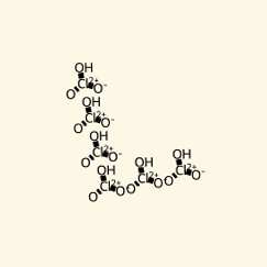 [O-][Cl+2]([O-])O.[O-][Cl+2]([O-])O.[O-][Cl+2]([O-])O.[O-][Cl+2]([O-])O.[O-][Cl+2]([O-])O.[O-][Cl+2]([O-])O